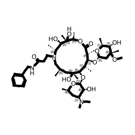 CO[C@]1(C)C[C@H](O[C@H]2[C@H](C)[C@@H](O[C@@H]3O[C@H](C)C[C@H](N(C)C)[C@H]3O)[C@](C)(O)C[C@@H](C)CN(CCC(=O)NCc3ccccc3)[C@H](C)[C@@H](O)[C@](C)(O)[C@@H](I)OC(=O)[C@@H]2C)O[C@@H](C)[C@@H]1O